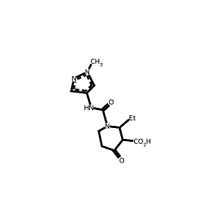 CCC1C(C(=O)O)C(=O)CCN1C(=O)Nc1cnn(C)c1